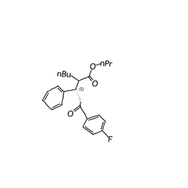 CCCCC(C(=O)OCCC)[C@H](CC(=O)c1ccc(F)cc1)c1ccccc1